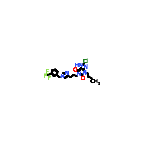 CCCCn1c(=O)n(CCCc2cn(Cc3cccc(C(F)(F)F)c3)cn2)c(=O)c2[nH]c(Cl)nc21